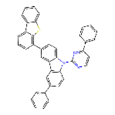 c1ccc(-c2ccc3c(c2)c2cc(-c4cccc5c4sc4ccccc45)ccc2n3-c2nccc(-c3ccccc3)n2)cc1